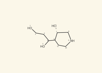 Cl.OCCC(O)C1CCNCC1